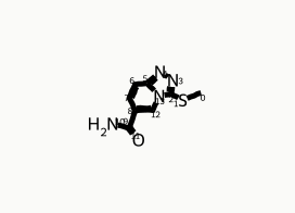 CSc1nnc2ccc(C(N)=O)cn12